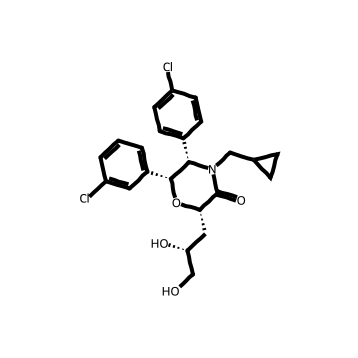 O=C1[C@H](C[C@@H](O)CO)O[C@H](c2cccc(Cl)c2)[C@H](c2ccc(Cl)cc2)N1CC1CC1